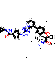 CC(C)(Oc1ccc(-c2cccn3nc(Nc4ccc(C(=O)NC5CC5)cc4)nc23)cc1)C(N)=O